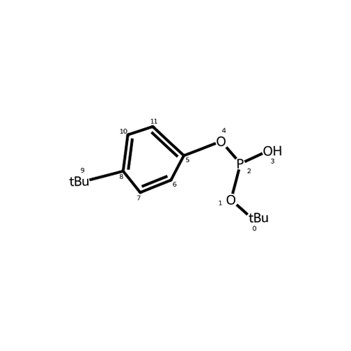 CC(C)(C)OP(O)Oc1ccc(C(C)(C)C)cc1